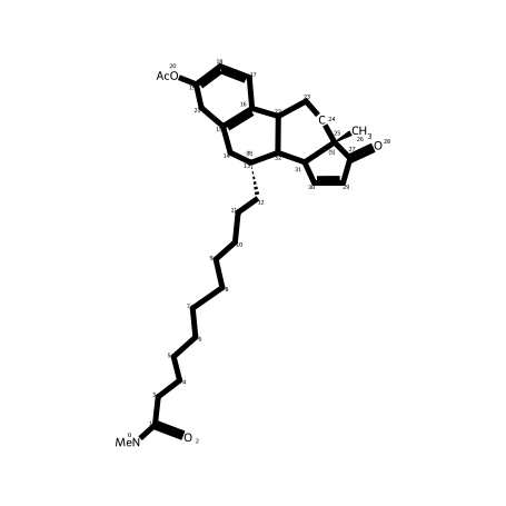 CNC(=O)CCCCCCCCCC[C@@H]1CC2=C(C=C=C(OC(C)=O)C2)C2CC[C@]3(C)C(=O)C=CC3C21